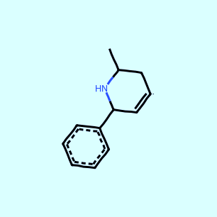 CC1C[C]=CC(c2ccccc2)N1